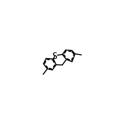 Cc1ccc2c(c1)Cc1cc(C)ccc1S2